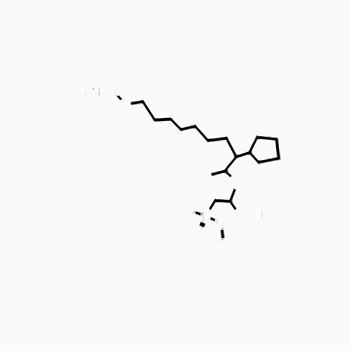 CCCCCCCCCSCCCCCCCC(C1CCCC1)C(C)OC(CP(=O)(O)OCCC)C(=O)O